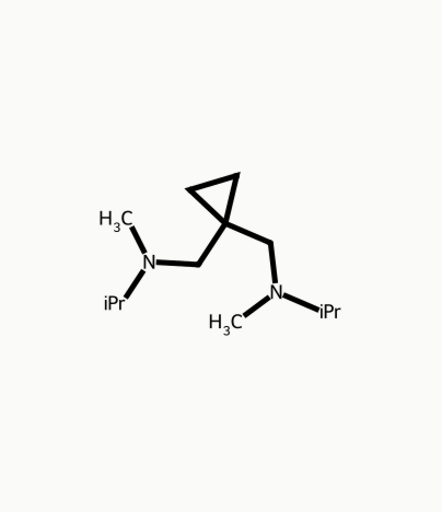 CC(C)N(C)CC1(CN(C)C(C)C)CC1